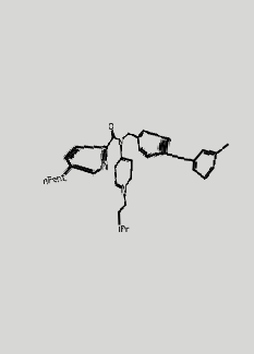 CCCCCc1ccc(C(=O)N(Cc2ccc(-c3cccc(C)c3)cc2)C2CCN(CCC(C)C)CC2)nc1